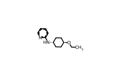 CCO[C@H]1CC[C@H](Nc2c[c]ccn2)CC1